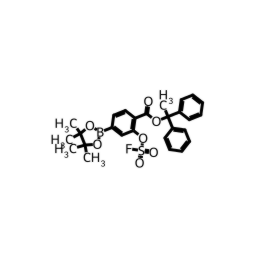 CC(OC(=O)c1ccc(B2OC(C)(C)C(C)(C)O2)cc1OS(=O)(=O)F)(c1ccccc1)c1ccccc1